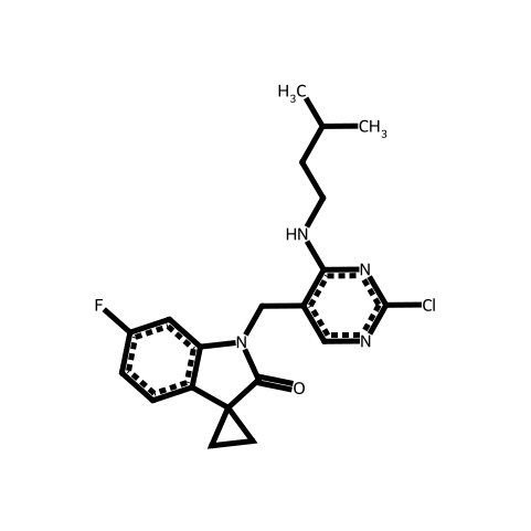 CC(C)CCNc1nc(Cl)ncc1CN1C(=O)C2(CC2)c2ccc(F)cc21